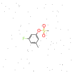 Cc1cc(F)cc(OS(C)(=O)=O)c1